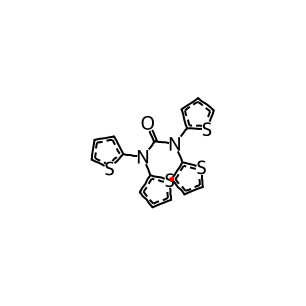 O=C(N(c1cccs1)c1cccs1)N(c1cccs1)c1cccs1